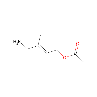 BC/C(C)=C/COC(C)=O